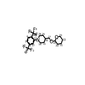 FC(F)(F)c1ccc(C(F)(F)F)c(N2CCC(COC3CCCCO3)CC2)c1